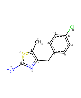 Cc1sc(N)nc1Cc1ccc(Cl)cc1